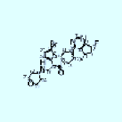 C[C@@H]1C[C@@H](F)c2ncnc(N3CCN(C(=O)[C@H](CNC4CCOCC4)c4ccc(Br)s4)CC3)c21